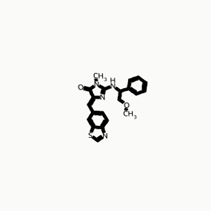 COCC(NC1=N/C(=C\c2ccc3ncsc3c2)C(=O)N1C)c1ccccc1